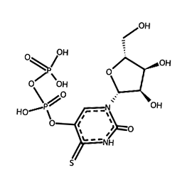 O=c1[nH]c(=S)c(OP(=O)(O)OP(=O)(O)O)cn1[C@@H]1O[C@H](CO)[C@@H](O)[C@H]1O